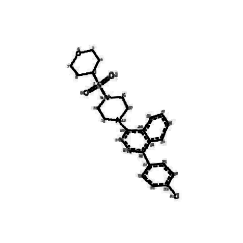 O=S(=O)(C1CCOCC1)N1CCN(c2nnc(-c3ccc(Cl)cc3)c3ccccc23)CC1